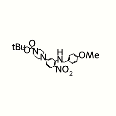 COc1ccc(CNc2cc(N3CCN(C(=O)OC(C)(C)C)CC3)ccc2[N+](=O)[O-])cc1